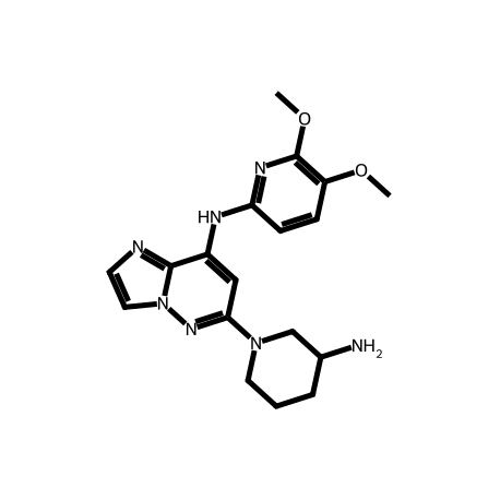 COc1ccc(Nc2cc(N3CCCC(N)C3)nn3ccnc23)nc1OC